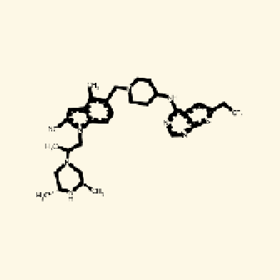 Cc1c(CN2CCC(Nc3ncnc4sc(CC(F)(F)F)cc34)CC2)ccc2c1cc(C#N)n2CC(C)N1C[C@@H](C)N[C@H](C)C1